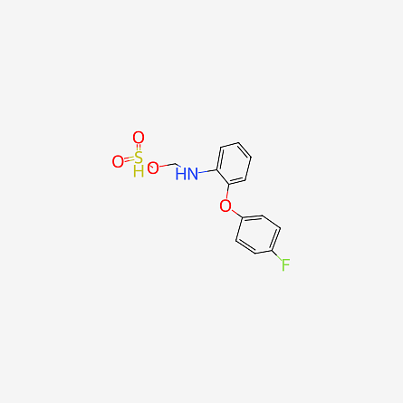 O=[SH](=O)OCNc1ccccc1Oc1ccc(F)cc1